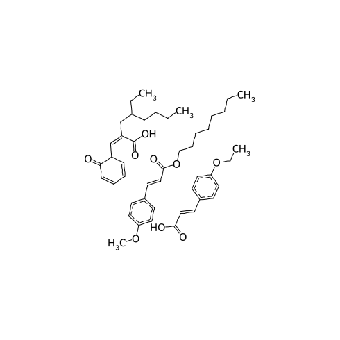 CCCCC(CC)CC(=CC1C=CC=CC1=O)C(=O)O.CCCCCCCCOC(=O)C=Cc1ccc(OC)cc1.CCOc1ccc(C=CC(=O)O)cc1